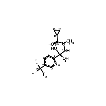 CN(NC(O)(O)c1ccc(C(F)(F)F)cn1)C(=O)C1CC1